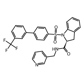 O=C(NCc1cccnc1)[C@@H]1Cc2ccccc2N1S(=O)(=O)c1ccc(-c2cccc(C(F)(F)F)c2)cc1